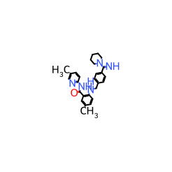 Cc1ccc(NC(=O)c2cc(C)ccc2NCc2ccc(C(=N)N3CCCCC3)cc2)nc1